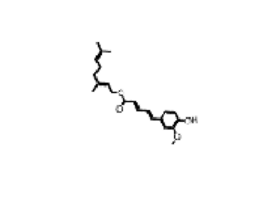 COc1cc(/C=C/C=C/C(=O)OC/C=C(\C)CCC=C(C)C)ccc1O